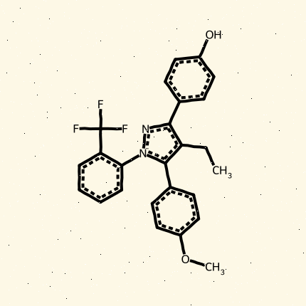 CCc1c(-c2ccc(O)cc2)nn(-c2ccccc2C(F)(F)F)c1-c1ccc(OC)cc1